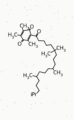 CC1=C(C)C(=O)C(C(=O)CCCCC(C)(C)CCCC(C)CCCC(C)CCCC(C)C)=C(C)C1=O